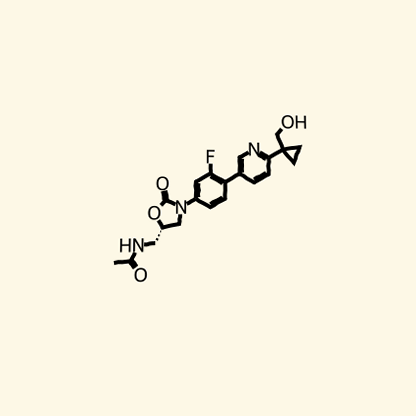 CC(=O)NC[C@H]1CN(c2ccc(-c3ccc(C4(CO)CC4)nc3)c(F)c2)C(=O)O1